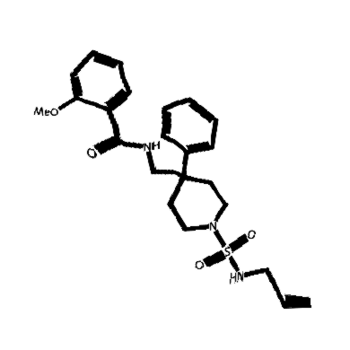 C=CCNS(=O)(=O)N1CCC(CNC(=O)c2ccccc2OC)(c2ccccc2)CC1